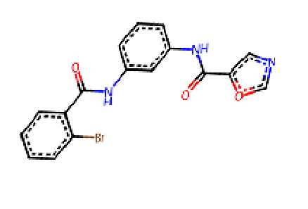 O=C(Nc1cccc(NC(=O)c2ccccc2Br)c1)c1cnco1